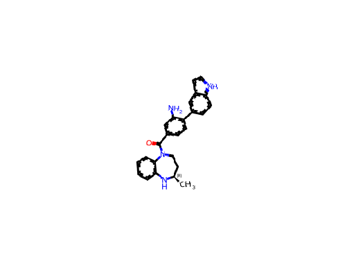 C[C@@H]1CCN(C(=O)c2ccc(-c3ccc4[nH]ccc4c3)c(N)c2)c2ccccc2N1